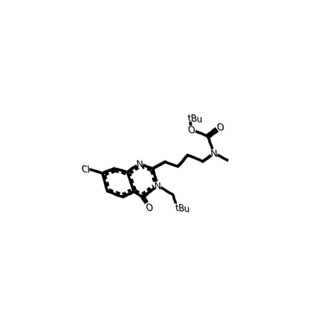 CN(CCCCc1nc2cc(Cl)ccc2c(=O)n1CC(C)(C)C)C(=O)OC(C)(C)C